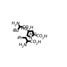 CC(C)CC(N)C(=O)O.CCC(C)C(N)C(=O)O.O=C(O)[C@@H]1C[C@@H](O)CN1